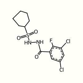 O=C(NNS(=O)(=O)C1CCCCC1)c1cc(Cl)cc(Cl)c1F